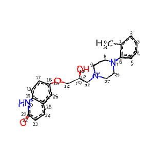 Cc1ccccc1N1CCN(C[C@H](O)COc2ccc3[nH]c(=O)ccc3c2)CC1